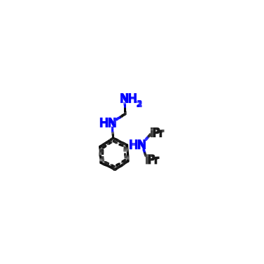 CC(C)NC(C)C.NCNc1ccccc1